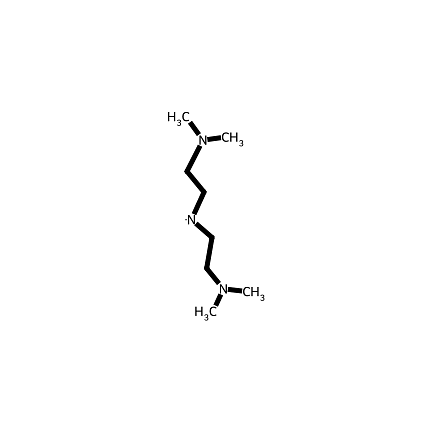 CN(C)CC[N]CCN(C)C